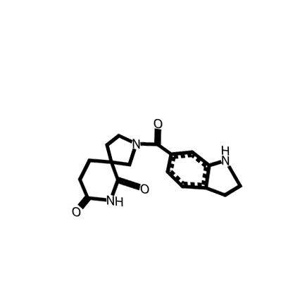 O=C1CCC2(CCN(C(=O)c3ccc4c(c3)NCC4)C2)C(=O)N1